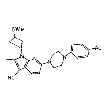 CNC1CC(n2c(C)c(C#N)c3ccc(N4CCN(c5ccc(C(C)=O)cc5)CC4)nc32)C1